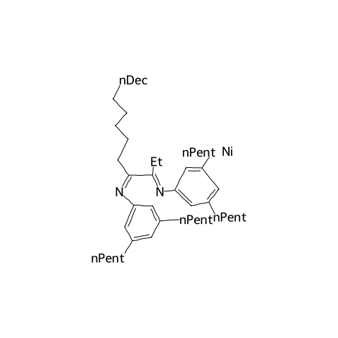 CCCCCCCCCCCCCCCC(=Nc1cc(CCCCC)cc(CCCCC)c1)C(CC)=Nc1cc(CCCCC)cc(CCCCC)c1.[Ni]